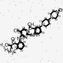 COc1cc(N2CCC(N3CCN(C)CC3)CC2)ccc1Nc1ncc(Cl)c(Nc2cccc(C)c2[S+]([O-])C(C)C)n1